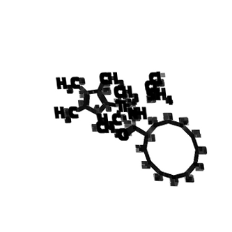 CC1=C(C)C(C)[C]([Ti+2]([CH3])([CH3])[NH]C(=O)C2CCCCCCCCCCC2)=C1C.[Cl-].[Cl-].[SiH4]